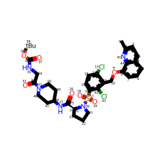 Cc1ccc2cccc(OCc3c(Cl)ccc(S(=O)(=O)N4CCC[C@H]4C(=O)NC4CCN(C(=O)CNC(=O)OC(C)(C)C)CC4)c3Cl)c2n1